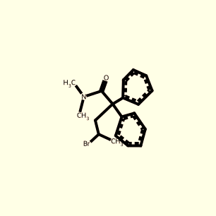 CC(Br)CC(C(=O)N(C)C)(c1ccccc1)c1ccccc1